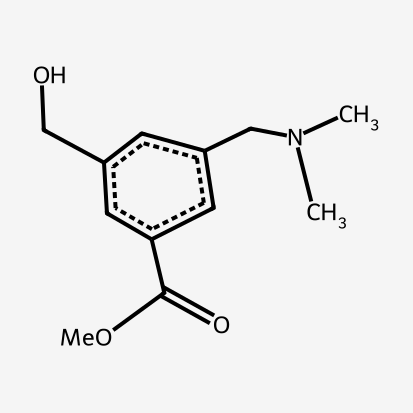 COC(=O)c1cc(CO)cc(CN(C)C)c1